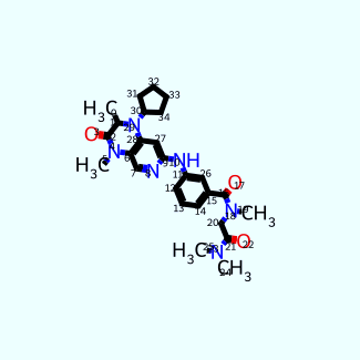 CC1C(=O)N(C)c2cnc(Nc3cccc(C(=O)N(C)CC(=O)N(C)C)c3)cc2N1C1CCCC1